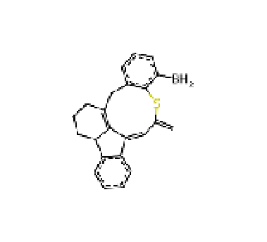 Bc1cccc2c1SC(=C)/C=C1\C3=C(CCCC3c3ccccc31)C2